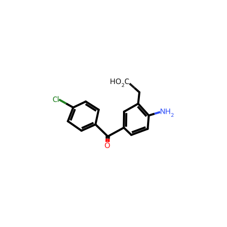 Nc1ccc(C(=O)c2ccc(Cl)cc2)cc1CC(=O)O